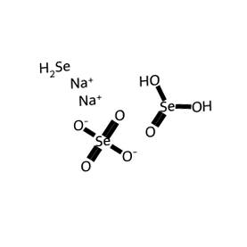 O=[Se](=O)([O-])[O-].O=[Se](O)O.[Na+].[Na+].[SeH2]